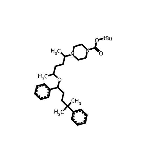 CC(CCC(C)N1CCN(C(=O)OC(C)(C)C)CC1)OC(CCC(C)(C)c1ccccc1)c1ccccc1